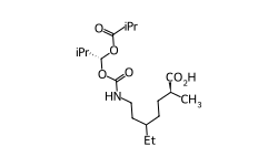 CCC(CCNC(=O)O[C@@H](OC(=O)C(C)C)C(C)C)CC[C@H](C)C(=O)O